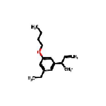 [CH2]C(C=C)c1cc(CC)cc(OCCCC)c1